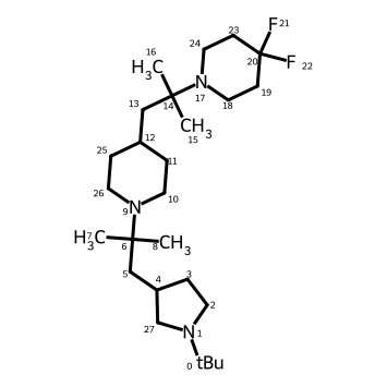 CC(C)(C)N1CCC(CC(C)(C)N2CCC(CC(C)(C)N3CCC(F)(F)CC3)CC2)C1